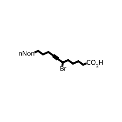 CCCCCCCCCCCCC#CC(Br)CCCCC(=O)O